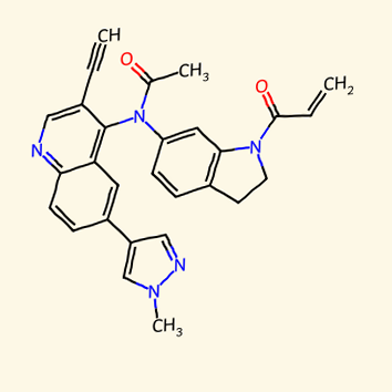 C#Cc1cnc2ccc(-c3cnn(C)c3)cc2c1N(C(C)=O)c1ccc2c(c1)N(C(=O)C=C)CC2